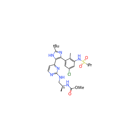 COC(=O)N[C@@H](C)CNc1nccc(-c2[nH]c(C(C)(C)C)nc2-c2cc(Cl)cc(NS(=O)(=O)C(C)C)c2C)n1